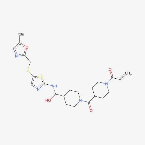 C=CC(=O)N1CCC(C(=O)N2CCC(C(O)Nc3ncc(SCc4ncc(C(C)(C)C)o4)s3)CC2)CC1